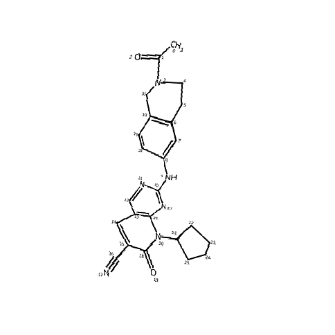 CC(=O)N1CCc2cc(Nc3ncc4cc(C#N)c(=O)n(C5CCCC5)c4n3)ccc2C1